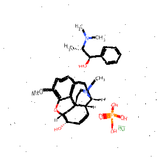 COc1ccc2c3c1O[C@H]1[C@@H](O)C=C[C@H]4[C@@H](C2)N(C)CC[C@@]341.C[C@@H]([C@H](O)c1ccccc1)N(C)C.Cl.O=P(O)(O)O